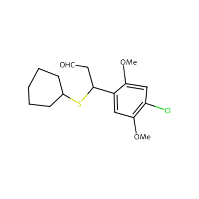 COc1cc(C(CC=O)SC2CCCCC2)c(OC)cc1Cl